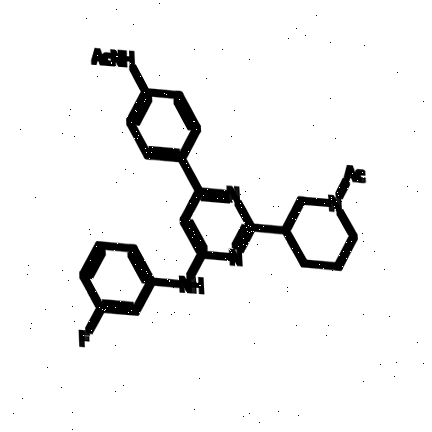 CC(=O)Nc1ccc(-c2cc(Nc3cccc(F)c3)nc(C3CCCN(C(C)=O)C3)n2)cc1